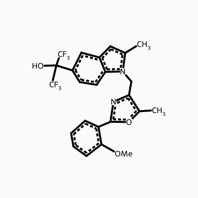 COc1ccccc1-c1nc(Cn2c(C)cc3cc(C(O)(C(F)(F)F)C(F)(F)F)ccc32)c(C)o1